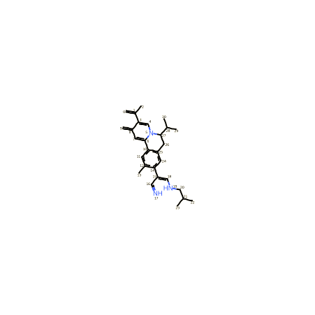 C=C(C)C1=CN2C(=CC1=C)c1cc(C)c(/C(C=N)=C/NCC(C)C)cc1CC2C(C)C